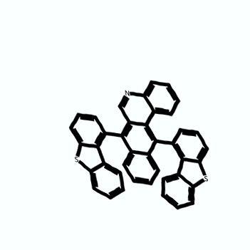 c1ccc2c(c1)ncc1c(-c3cccc4sc5ccccc5c34)c3ccccc3c(-c3cccc4sc5ccccc5c34)c12